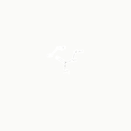 CCCCCNC(N)=O.O=C(O)O